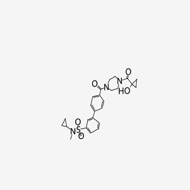 CN(C1CC1)S(=O)(=O)c1cccc(-c2ccc(C(=O)N3CCN(C(=O)C4(O)CC4)CC3)cc2)c1